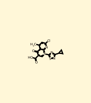 Cc1cc(Cl)nc2c1c(=O)c(C(=O)O)cn2-c1nc(C2CC2)ns1